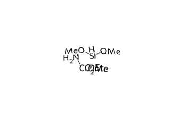 CCOC(N)=O.CO[SiH](OC)OC